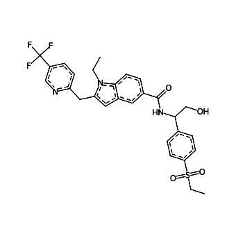 CCn1c(Cc2ccc(C(F)(F)F)cn2)cc2cc(C(=O)NC(CO)c3ccc(S(=O)(=O)CC)cc3)ccc21